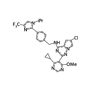 COc1ncnc(C2CC2)c1-c1nc(NCc2ccc(-c3nc(C(F)(F)F)cn3C(C)C)cc2)c2cc(Cl)cn2n1